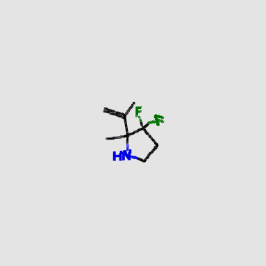 C=C(C)C1(C)NCCC1(F)F